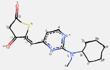 CN(c1nccc(/C=C2\SC(=O)CC2=O)n1)C1CCCCC1